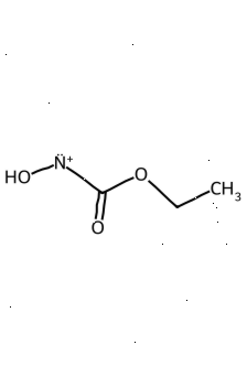 CCOC(=O)[N+]O